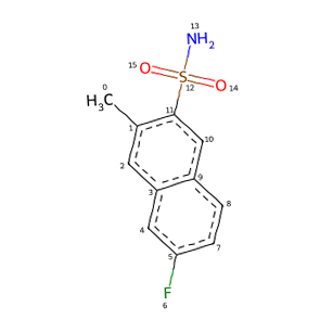 Cc1cc2cc(F)ccc2cc1S(N)(=O)=O